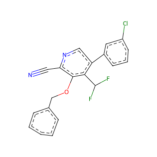 N#Cc1ncc(-c2cccc(Cl)c2)c(C(F)F)c1OCc1ccccc1